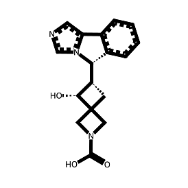 O=C(O)N1CC2(C[C@@H]([C@H]3c4ccccc4-c4cncn43)[C@H]2O)C1